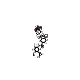 C[C@H]1CC2CC(S(=O)(=O)c3cc(C(=O)Nc4ccc(F)c(C5CC5)c4)ccc3Cl)C[C@H]1[C@]2(C)O